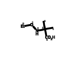 CCONC(C)(C)C(=O)O